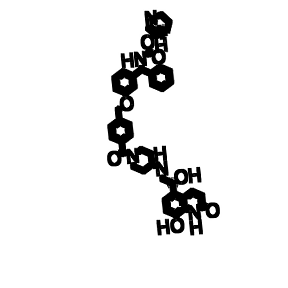 O=C(NC(c1ccccc1)c1cccc(OCc2ccc(C(=O)N3CCC(NC[C@@H](O)c4ccc(O)c5[nH]c(=O)ccc45)CC3)cc2)c1)O[C@H]1CN2CCC1CC2